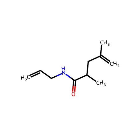 C=CCNC(=O)C(C)CC(=C)C